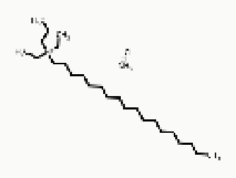 CCCCCCCCCCCCCCCCCC[N+](CC)(CC)CCC.Cl.N.[Cl-]